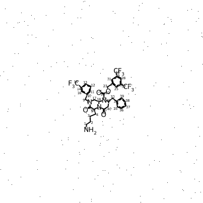 NCCCC[C@H]1C(=O)N(Cc2cccc(C(F)(F)F)c2)CC2N(C(=O)OCc3cc(C(F)(F)F)cc(C(F)(F)F)c3)C(Cc3ccccc3)CC(=O)N21